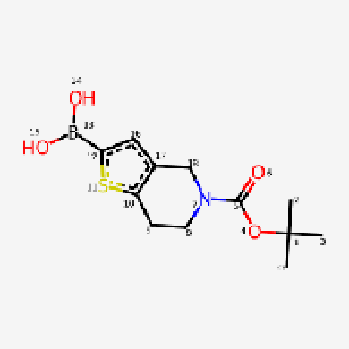 CC(C)(C)OC(=O)N1CCc2sc(B(O)O)cc2C1